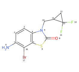 Nc1ccc2c(sc(=O)n2CC2CC2(F)F)c1Br